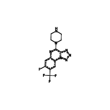 Fc1cc2nc(N3CCNCC3)c3nnnn3c2cc1C(F)(F)F